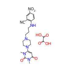 Cn1c(N2CCN(CCCNc3ccc([N+](=O)[O-])cc3C#N)CC2)cc(=O)n(C)c1=O.O=C(O)C(=O)O